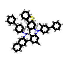 Cc1cc2c3c(c1)N(c1ccc(-c4ccccc4)cc1C)c1cc4sc5ccccc5c4cc1B3N(c1ccc(-c3ccccc3)cc1)c1cc3ccccc3cc1-2